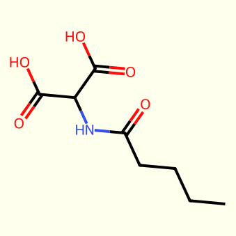 CCCCC(=O)NC(C(=O)O)C(=O)O